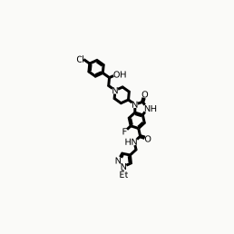 CCn1cc(CNC(=O)c2cc3[nH]c(=O)n(C4CCN(CC(O)c5ccc(Cl)cc5)CC4)c3cc2F)cn1